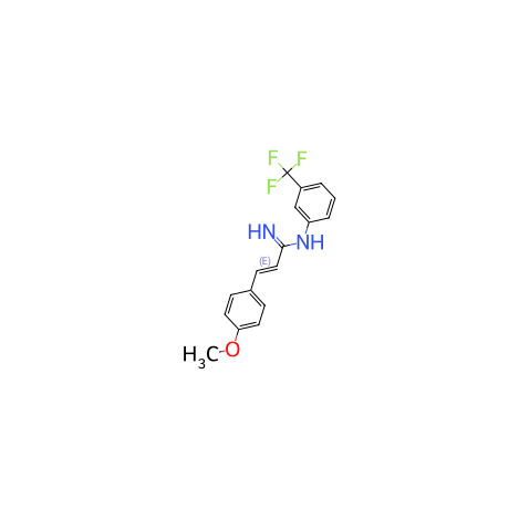 COc1ccc(/C=C/C(=N)Nc2cccc(C(F)(F)F)c2)cc1